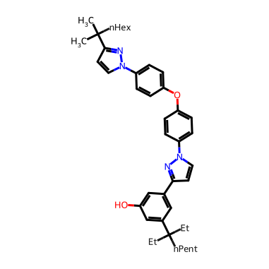 CCCCCCC(C)(C)c1ccn(-c2ccc(Oc3ccc(-n4ccc(-c5cc(O)cc(C(CC)(CC)CCCCC)c5)n4)cc3)cc2)n1